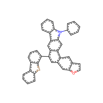 c1ccc(-n2c3ccccc3c3cc4c(-c5cccc6c5sc5ccccc56)cc5cc6occc6cc5c4cc32)cc1